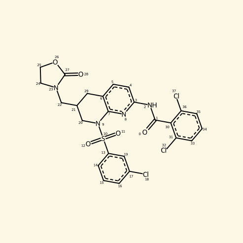 O=C(Nc1ccc2c(n1)N(S(=O)(=O)c1cccc(Cl)c1)CC(CN1CCOC1=O)C2)c1c(Cl)cccc1Cl